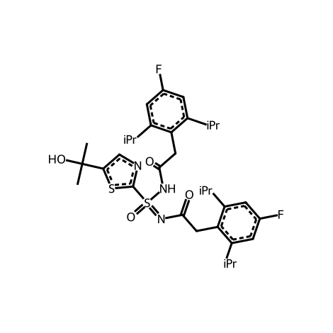 CC(C)c1cc(F)cc(C(C)C)c1CC(=O)N=S(=O)(NC(=O)Cc1c(C(C)C)cc(F)cc1C(C)C)c1ncc(C(C)(C)O)s1